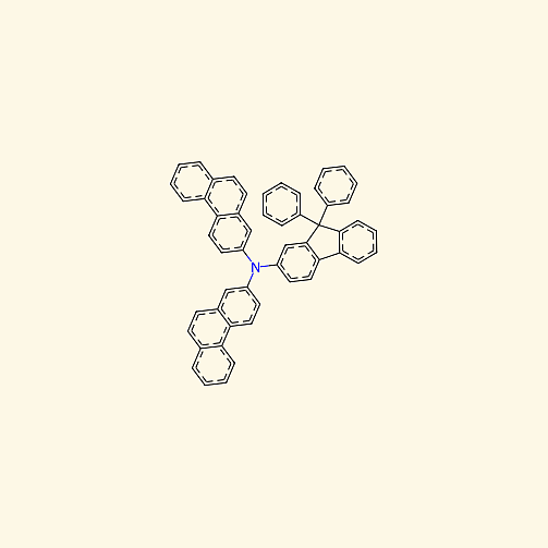 c1ccc(C2(c3ccccc3)c3ccccc3-c3ccc(N(c4ccc5c(ccc6ccccc65)c4)c4ccc5c(ccc6ccccc65)c4)cc32)cc1